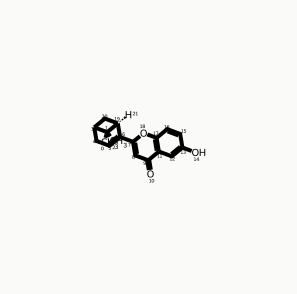 CC1(C)C2CC=C(c3cc(=O)c4cc(O)ccc4o3)[C@@H]1C2